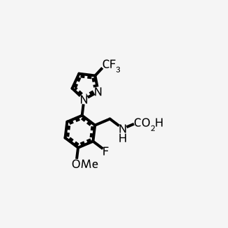 COc1ccc(-n2ccc(C(F)(F)F)n2)c(CNC(=O)O)c1F